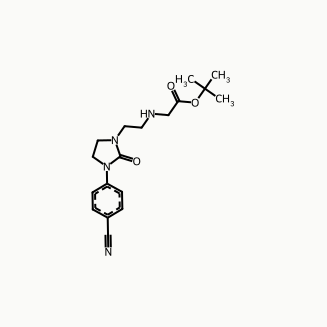 CC(C)(C)OC(=O)CNCCN1CCN(c2ccc(C#N)cc2)C1=O